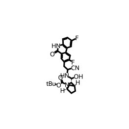 CC(C)(C)OC(=O)N1[C@@H]2CC[C@@H](C2)[C@H]1C(O)NC(C#N)Cc1cc2c(=O)[nH]c3ccc(F)cc3c2cc1F